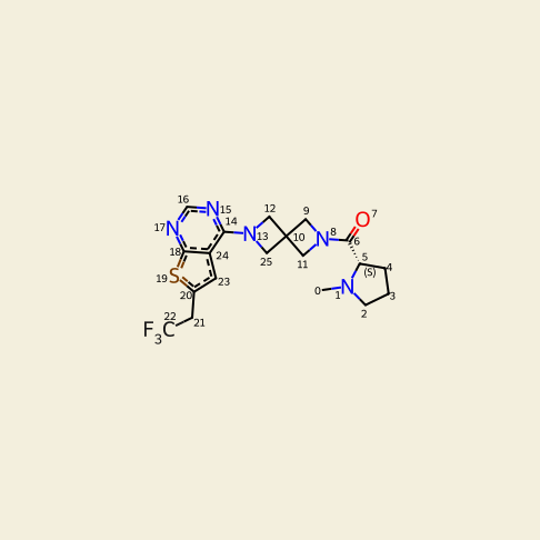 CN1CCC[C@H]1C(=O)N1CC2(C1)CN(c1ncnc3sc(CC(F)(F)F)cc13)C2